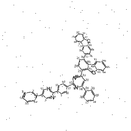 c1ccc(-c2cnc(-c3ccc(-c4nc(-c5ccccc5)cc(-c5ccc(-c6ccc7oc8ccccc8c7c6)c6c5oc5ccccc56)n4)cc3)nc2)cc1